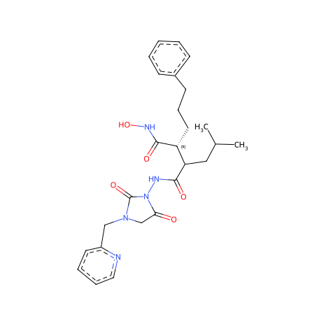 CC(C)CC(C(=O)NN1C(=O)CN(Cc2ccccn2)C1=O)[C@@H](CCCc1ccccc1)C(=O)NO